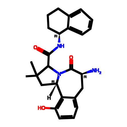 CC1(C)C[C@@H]2c3c(O)cccc3C[C@H](N)C(=O)N2C1C(=O)N[C@@H]1CCCc2ccccc21